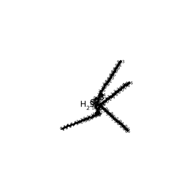 CCCCCCCCCCCCCCCCCCCCc1csc(C2=CC(CCCCCCCCCCCCCCCCCCCC)(CCCCCCCCCCCCCCCCCCCC)C3=C4CC(c5cc(CCCCCCCCCCCCCCCCCCCC)cs5)=CC=[Si]4[SiH2]C3=C2)c1